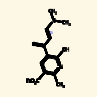 CCOC(=O)c1cc(C(=O)/C=C/N(C)C)c(O)nc1C